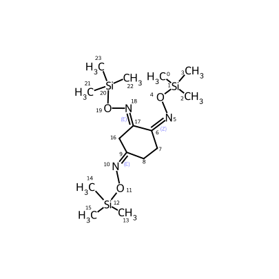 C[Si](C)(C)O/N=C1/CC/C(=N\O[Si](C)(C)C)C/C1=N\O[Si](C)(C)C